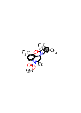 CCC1CC(N(Cc2cc(C(F)(F)F)cc(C(F)(F)F)c2)C(=O)OC)c2cc(C(F)(F)F)ccc2N1C(=O)OC(C)(C)C